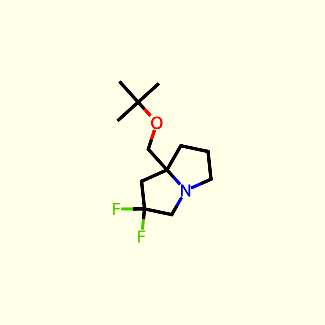 CC(C)(C)OCC12CCCN1CC(F)(F)C2